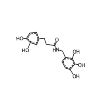 O=C(CCc1ccc(O)c(O)c1)NCc1ccc(O)c(O)c1O